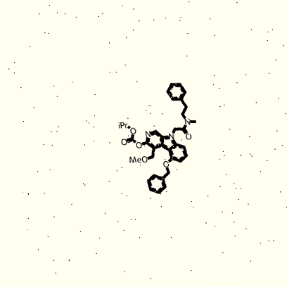 COCc1c(OC(=O)OC(C)C)ncc2c1c1c(OCc3ccccc3)cccc1n2CC(=O)N(C)CCc1ccccc1